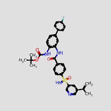 C=C(C)c1cncc(S(=N)(=O)c2ccc(C(=O)Nc3cc(-c4ccc(F)cc4)ccc3NC(=O)OC(C)(C)C)cc2)c1